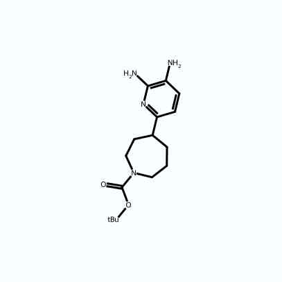 CC(C)(C)OC(=O)N1CCCC(c2ccc(N)c(N)n2)CC1